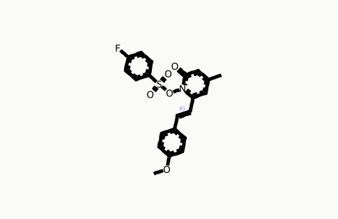 COc1ccc(/C=C/c2cc(C)cc(=O)n2OS(=O)(=O)c2ccc(F)cc2)cc1